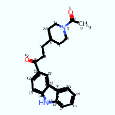 CC(=O)N1CCC(CCC(=O)c2ccc3[nH]c4ccccc4c3c2)CC1